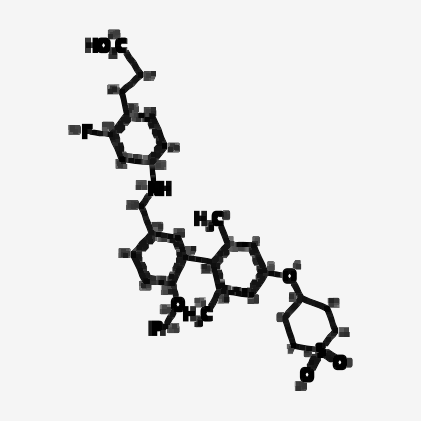 Cc1cc(OC2CCS(=O)(=O)CC2)cc(C)c1-c1cc(CNc2ccc(CCC(=O)O)c(F)c2)ccc1OC(C)C